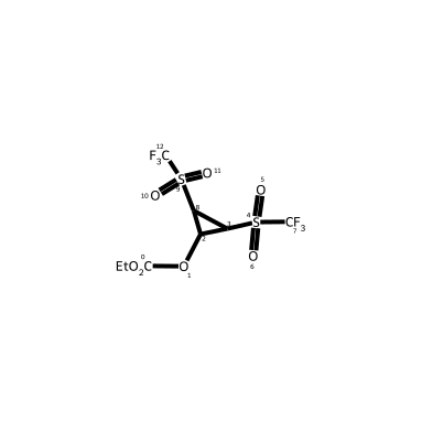 CCOC(=O)OC1C(S(=O)(=O)C(F)(F)F)C1S(=O)(=O)C(F)(F)F